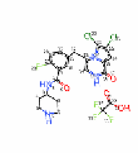 O=C(NC1CCNCC1)c1cc(Cc2c[nH]c(=O)c3cc(Cl)c(Cl)n23)ccc1F.O=C(O)C(F)(F)F